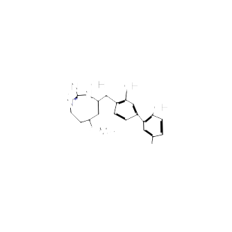 COC1CC/N=C(/N)N(C)C(Cc2ccc(-c3cc(F)ccc3C)cc2C)C1